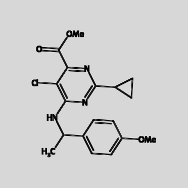 COC(=O)c1nc(C2CC2)nc(NC(C)c2ccc(OC)cc2)c1Cl